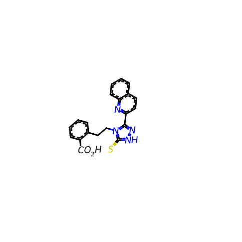 O=C(O)c1ccccc1CCn1c(-c2ccc3ccccc3n2)n[nH]c1=S